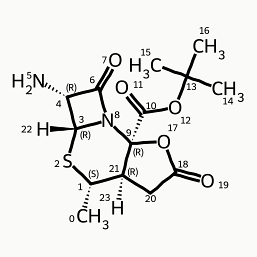 C[C@@H]1S[C@@H]2[C@H](N)C(=O)N2[C@@]2(C(=O)OC(C)(C)C)OC(=O)C[C@@H]12